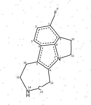 Fc1ccc2c3c(n4c2c1CC4)CCNCC3